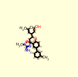 CC(C)=CC(CCO)C1CC2(N=C(N)N(C)O2)c2cc(-c3cccc(C)c3)ccc2O1